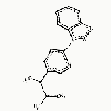 CC(C)C(C)c1ccc(-n2nnc3ccccc32)nc1